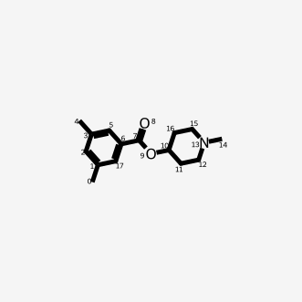 Cc1cc(C)cc(C(=O)OC2CCN(C)CC2)c1